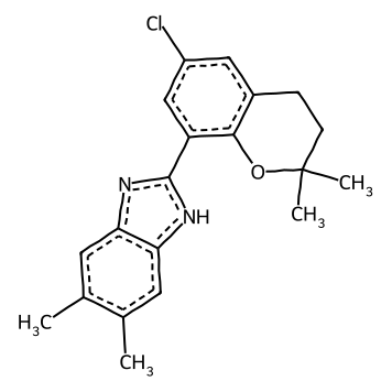 Cc1cc2nc(-c3cc(Cl)cc4c3OC(C)(C)CC4)[nH]c2cc1C